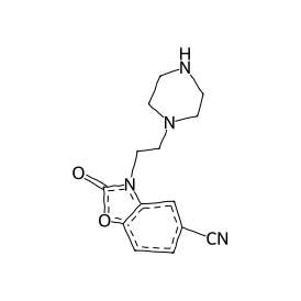 N#Cc1ccc2oc(=O)n(CCN3CCNCC3)c2c1